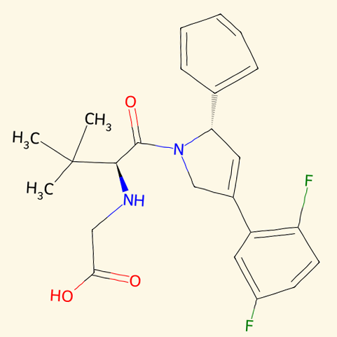 CC(C)(C)[C@H](NCC(=O)O)C(=O)N1CC(c2cc(F)ccc2F)=C[C@H]1c1ccccc1